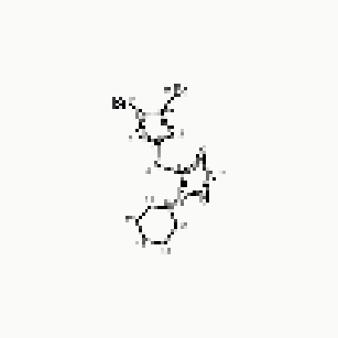 Brc1nc(Sc2nnnn2C2CCCCC2)sc1Br